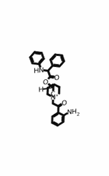 Nc1ccccc1C(=O)C[N+]12CCC(CC1)[C@@H](OC(=O)C(Nc1ccccc1)c1ccccc1)C2